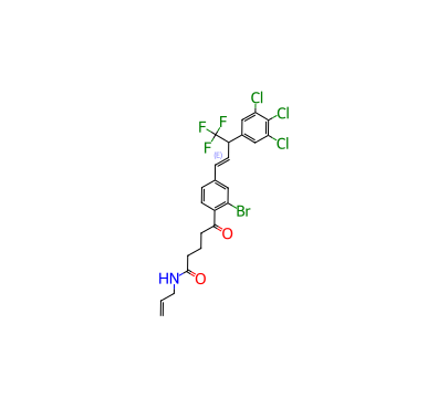 C=CCNC(=O)CCCC(=O)c1ccc(/C=C/C(c2cc(Cl)c(Cl)c(Cl)c2)C(F)(F)F)cc1Br